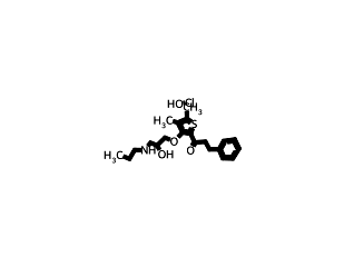 CCCNCC(O)COc1c(C(=O)CCc2ccccc2)sc(C)c1C.OCl